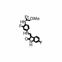 CCC(COC)Nc1ccc(NC=C2C(=O)Nc3cc(F)ccc32)cc1F